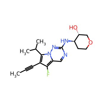 CC#Cc1c(F)c2cnc(N[C@@H]3CCOC[C@H]3O)nn2c1C(C)C